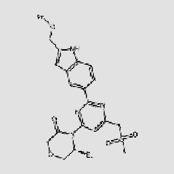 CC[C@H]1COCC(=O)N1c1cc(CS(C)(=O)=O)nc(-c2ccc3[nH]c(COC(C)C)cc3n2)n1